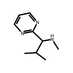 CNC(c1ncccn1)C(C)C